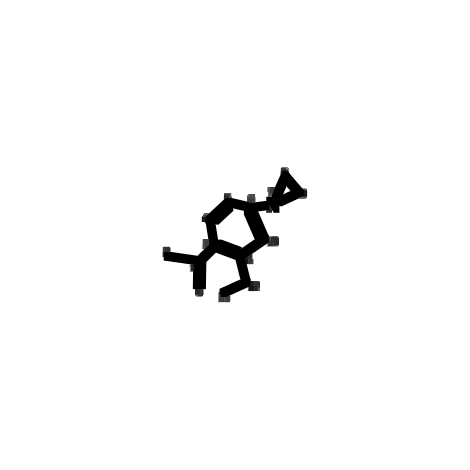 C=C(C)c1ccc(N2CC2)cc1CC